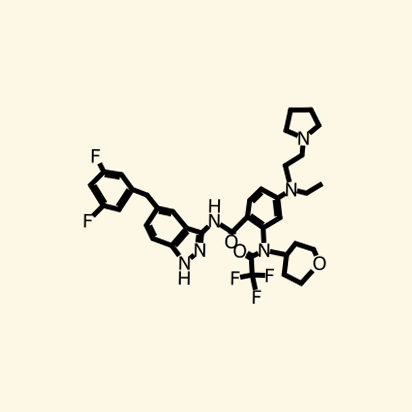 CCN(CCN1CCCC1)c1ccc(C(=O)Nc2n[nH]c3ccc(Cc4cc(F)cc(F)c4)cc23)c(N(C(=O)C(F)(F)F)C2CCOCC2)c1